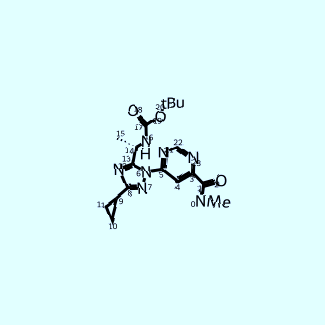 CNC(=O)c1cc(-n2nc(C3CC3)nc2[C@H](C)NC(=O)OC(C)(C)C)ncn1